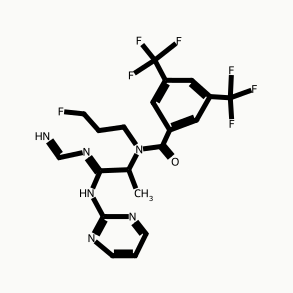 CC(/C(=N/C=N)Nc1ncccn1)N(CCCF)C(=O)c1cc(C(F)(F)F)cc(C(F)(F)F)c1